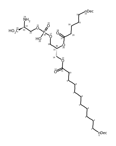 CCCCCCCCCCCCCCCCCCCCC(=O)OC[C@H](COP(=O)(O)OC[C@H](N)C(=O)O)OC(=O)CCCCCCCCCCCCCC